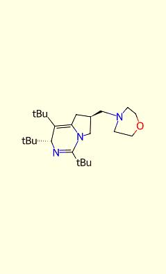 CC(C)(C)C1=N[C@H](C(C)(C)C)C(C(C)(C)C)=C2C[C@@H](CN3CCOCC3)CN12